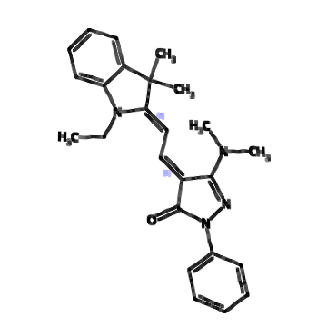 CCN1/C(=C\C=C2\C(=O)N(c3ccccc3)N=C2N(C)C)C(C)(C)c2ccccc21